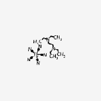 CCN(CC)CCN(CC)CC.N#[C][Fe]([C]#N)([C]#N)([C]#N)[C]#N